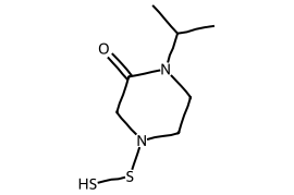 CC(C)N1CCN(SS)CC1=O